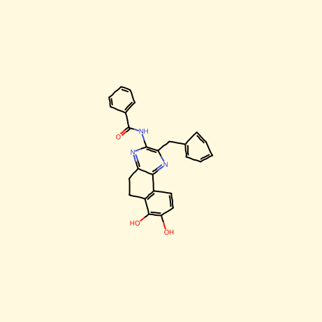 O=C(Nc1nc2c(nc1Cc1ccccc1)-c1ccc(O)c(O)c1CC2)c1ccccc1